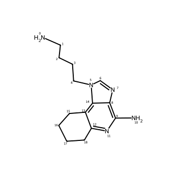 NCCCCn1cnc2c(N)nc3c(c21)CCCC3